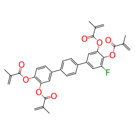 C=C(C)C(=O)Oc1ccc(-c2ccc(-c3cc(F)c(OC(=O)C(=C)C)c(OC(=O)C(=C)C)c3)cc2)cc1OC(=O)C(=C)C